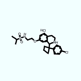 CC(C)S(=O)(=O)NCCOc1ccc2c(c1)C(C1(c3ccc(Cl)cc3)CCC1)NCC2.Cl